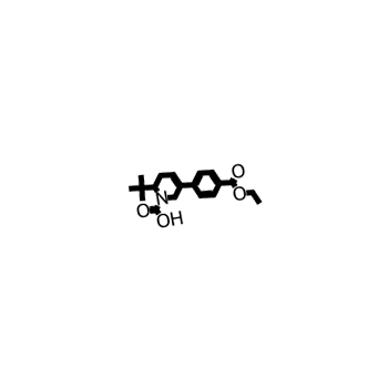 CCOC(=O)c1ccc(C2=CCC(C(C)(C)C)N(C(=O)O)C2)cc1